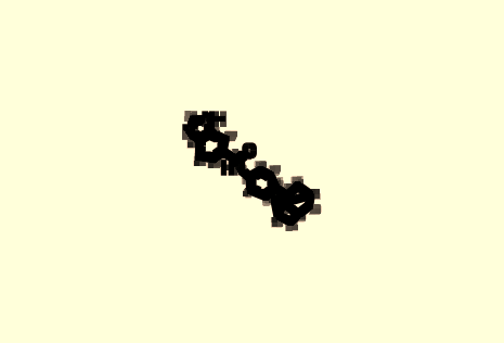 O=C(Nc1ccc(C23CC4CC(CC(C4)C2)C3)cc1)c1ccc2nc[nH]c2c1